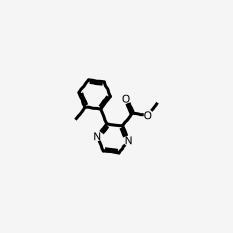 COC(=O)c1nccnc1-c1ccccc1C